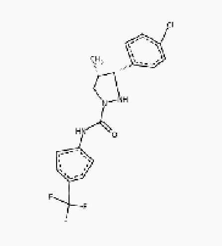 C[C@H]1CN(C(=O)Nc2ccc(C(F)(F)F)cc2)N[C@H]1c1ccc(Cl)cc1